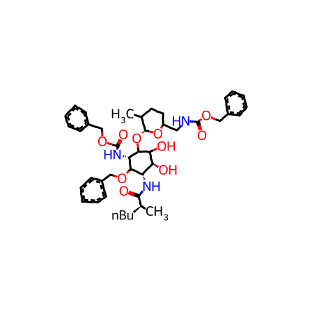 CCCC[C@H](C)C(=O)N[C@@H]1C(OCc2ccccc2)[C@H](NC(=O)OCc2ccccc2)C(O[C@H]2OC(CNC(=O)OCc3ccccc3)CCC2C)C(O)[C@H]1O